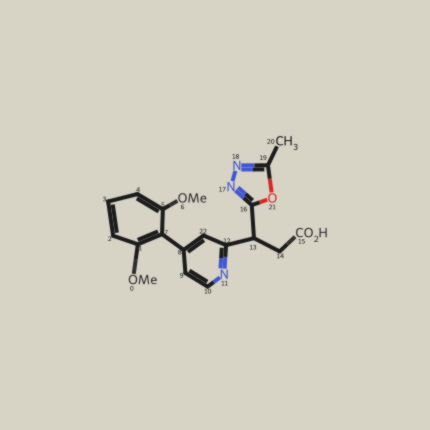 COc1cccc(OC)c1-c1ccnc(C(CC(=O)O)c2nnc(C)o2)c1